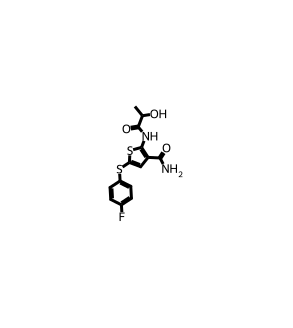 CC(O)C(=O)Nc1sc(Sc2ccc(F)cc2)cc1C(N)=O